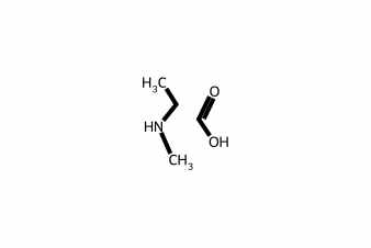 CCNC.O=CO